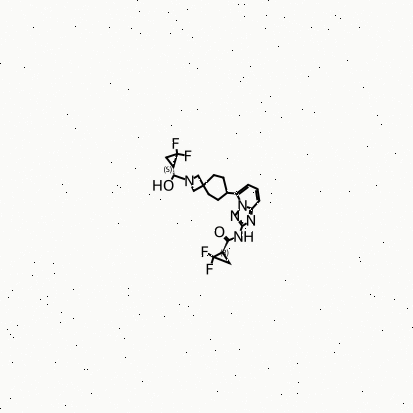 O=C(Nc1nc2cccc(C3CCC4(CC3)CN(C(O)[C@@H]3CC3(F)F)C4)n2n1)[C@H]1CC1(F)F